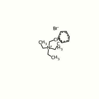 CC[N+](CC)(CC)CC.[Br-].c1ccccc1